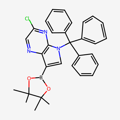 CC1(C)OB(c2cn(C(c3ccccc3)(c3ccccc3)c3ccccc3)c3nc(Cl)cnc23)OC1(C)C